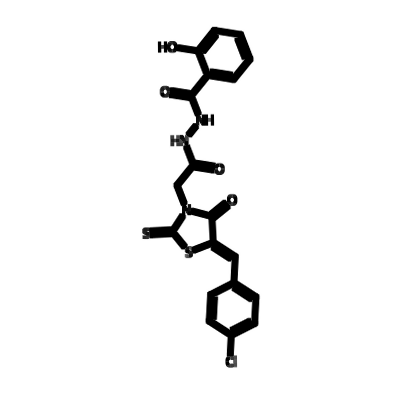 O=C(CN1C(=O)/C(=C/c2ccc(Cl)cc2)SC1=S)NNC(=O)c1ccccc1O